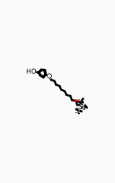 C[Si](C)(C)[Si](CCCCCCCCCCCOc1ccc(O)cc1)([Si](C)(C)C)[Si](C)(C)C